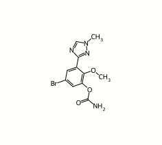 COc1c(OC(N)=O)cc(Br)cc1-c1ncn(C)n1